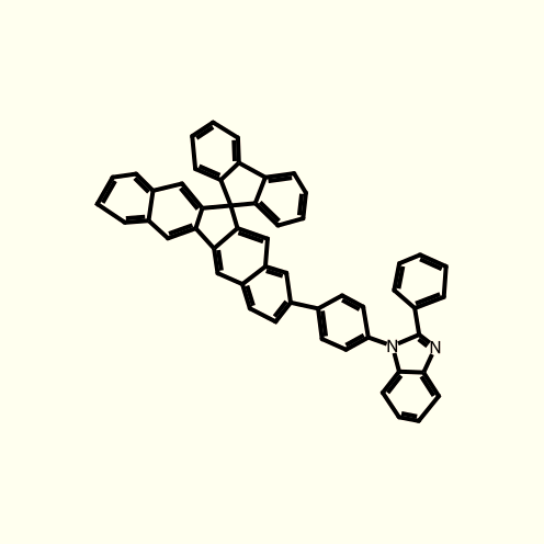 c1ccc(-c2nc3ccccc3n2-c2ccc(-c3ccc4cc5c(cc4c3)C3(c4ccccc4-c4ccccc43)c3cc4ccccc4cc3-5)cc2)cc1